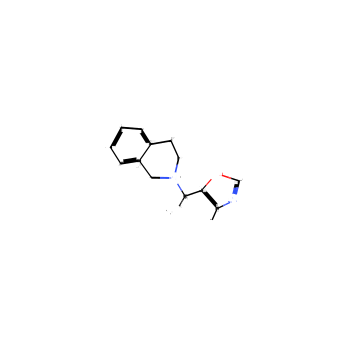 Cc1ncoc1C(C#N)N1CCc2ccccc2C1